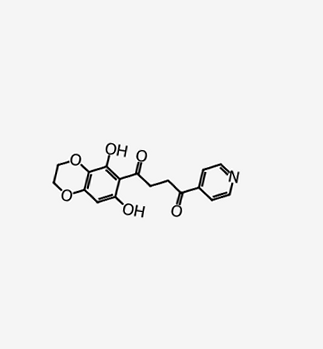 O=C(CCC(=O)c1c(O)cc2c(c1O)OCCO2)c1ccncc1